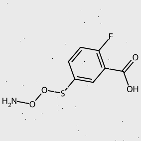 NOOSc1ccc(F)c(C(=O)O)c1